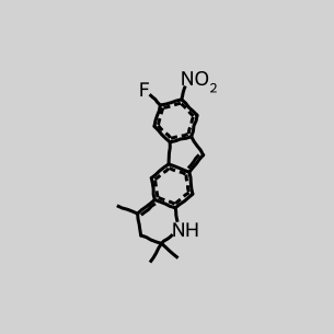 CC1=c2cc3c(cc2NC(C)(C)C1)=Cc1cc([N+](=O)[O-])c(F)cc1-3